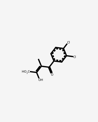 C/C(C(=O)c1ccc(Cl)c(Cl)c1)=C(/O)C(=O)O